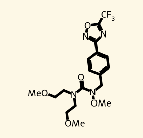 COCCN(CCOC)C(=O)N(Cc1ccc(-c2noc(C(F)(F)F)n2)cc1)OC